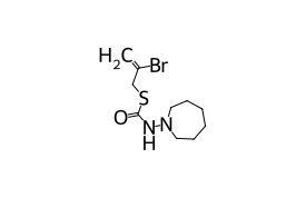 C=C(Br)CSC(=O)NN1CCCCCC1